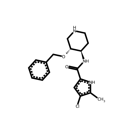 Cc1[nH]c(C(=O)N[C@@H]2CCNC[C@H]2OCc2ccccc2)cc1Cl